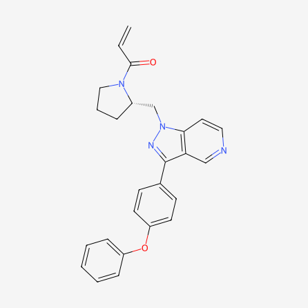 C=CC(=O)N1CCC[C@H]1Cn1nc(-c2ccc(Oc3ccccc3)cc2)c2cnccc21